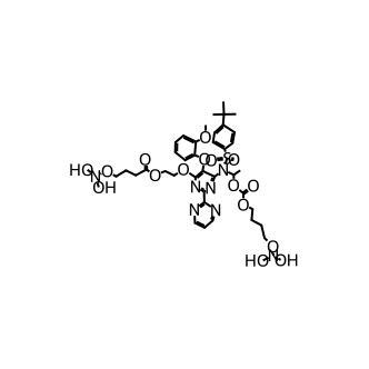 COc1ccccc1Oc1c(OCCOC(=O)CCCON(O)O)nc(-c2ncccn2)nc1N(C(C)OC(=O)OCCCCON(O)O)S(=O)(=O)c1ccc(C(C)(C)C)cc1